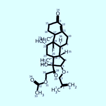 C=C(C)CO[C@@H]1C[C@H]2[C@@H]3CCC4=CC(=O)CC[C@]4(C)C3(F)[C@@H](O)C[C@]2(C)[C@@]1(O)C(=O)COC(C)=O